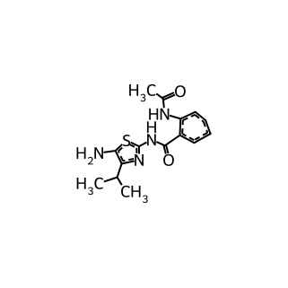 CC(=O)Nc1ccccc1C(=O)Nc1nc(C(C)C)c(N)s1